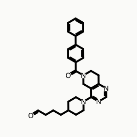 O=CCCCC1CCN(c2ncnc3c2CN(C(=O)c2ccc(-c4ccccc4)cc2)CC3)CC1